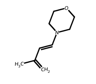 C=C(C)C=CN1CCOCC1